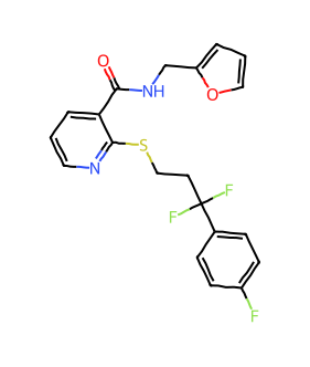 O=C(NCc1ccco1)c1cccnc1SCCC(F)(F)c1ccc(F)cc1